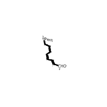 CCCCCC\C=C/C=C\C=C\C=O